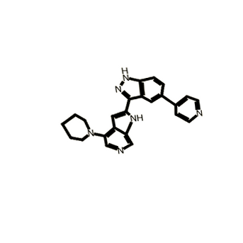 c1cc(-c2ccc3[nH]nc(-c4cc5c(N6CCCCC6)cncc5[nH]4)c3c2)ccn1